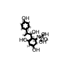 CC(c1ccc(O)cc1)C(O)C1=C(O)C=C(O)CC1=NP(=O)(O)O